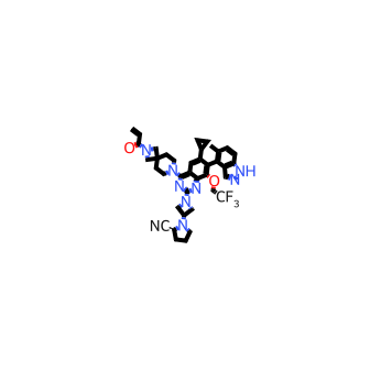 C=CC(=O)N1CC2(CCN(c3nc(N4CC(N5CCC[C@@H]5C#N)C4)nc4c(OCC(F)(F)F)c(-c5c(C)ccc6[nH]ncc56)c(C5CC5)cc34)CC2)C1